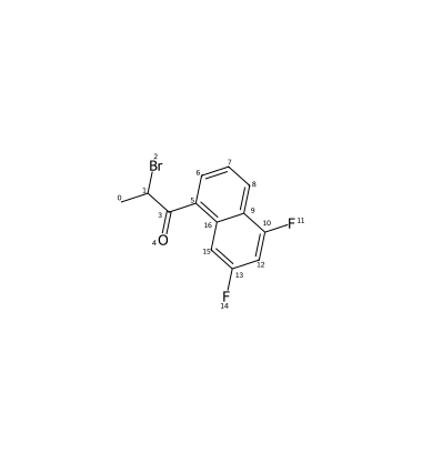 CC(Br)C(=O)c1cccc2c(F)cc(F)cc12